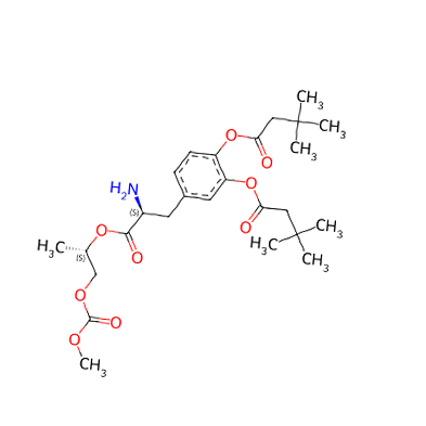 COC(=O)OC[C@H](C)OC(=O)[C@@H](N)Cc1ccc(OC(=O)CC(C)(C)C)c(OC(=O)CC(C)(C)C)c1